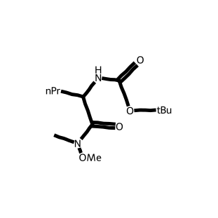 CCCC(NC(=O)OC(C)(C)C)C(=O)N(C)OC